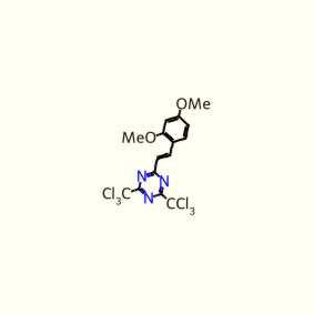 COc1ccc(C=Cc2nc(C(Cl)(Cl)Cl)nc(C(Cl)(Cl)Cl)n2)c(OC)c1